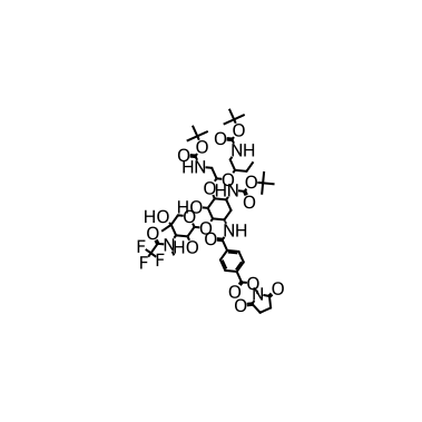 CCC(CNC(=O)OC(C)(C)C)OC(CNC(=O)OC(C)(C)C)OC1C(NC(=O)OC(C)(C)C)C[C@@H](NC(=O)c2ccc(C(=O)ON3C(=O)CCC3=O)cc2)C(OC2OCC(C)(O)C(N(C)C(=O)C(F)(F)F)C2O)C1O